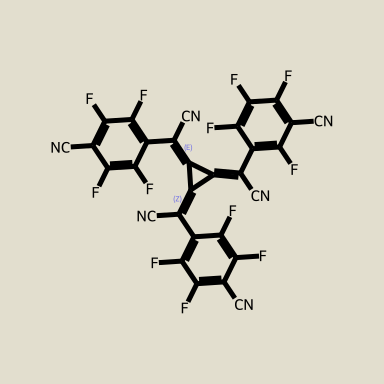 N#CC(=C1C(=C(/C#N)c2c(F)c(F)c(C#N)c(F)c2F)/C1=C(/C#N)c1c(F)c(F)c(C#N)c(F)c1F)c1c(F)c(F)c(F)c(C#N)c1F